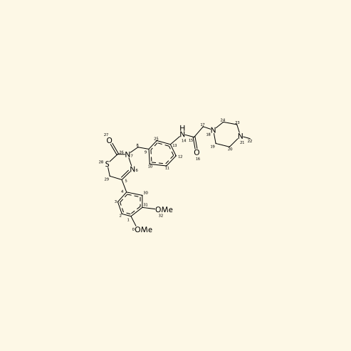 COc1ccc(C2=NN(Cc3cccc(NC(=O)CN4CCN(C)CC4)c3)C(=O)SC2)cc1OC